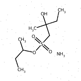 CCC(C)OS(=O)(=O)CC(C)(O)CC.N